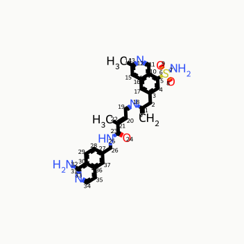 C=C(Cc1cc(S(N)(=O)=O)c2cnc(C)cc2c1)/N=C\C=C(/C)C(=O)NCc1ccc2c(N)nccc2c1